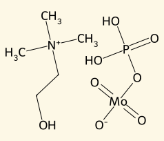 C[N+](C)(C)CCO.O=P(O)(O)[O][Mo](=[O])(=[O])[O-]